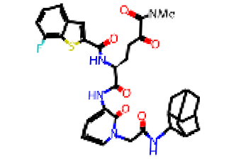 CNC(=O)C(=O)CC[C@H](NC(=O)c1cc2cccc(F)c2s1)C(=O)Nc1cccn(CC(=O)NC2C3CC4CC(C3)CC2C4)c1=O